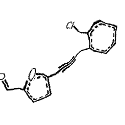 O=Cc1ccc(C#Cc2ccccc2Cl)o1